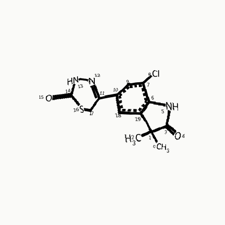 CC1(C)C(=O)Nc2c(Cl)cc(C3=NNC(=O)SC3)cc21